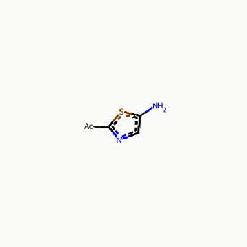 CC(=O)c1ncc(N)s1